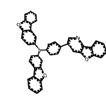 c1ccc2c(c1)oc1cc(N(c3ccc(-c4cnc5c(c4)oc4ccccc45)cc3)c3ccc4oc5ccccc5c4c3)ccc12